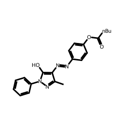 CCCCC(=O)Oc1ccc(N=Nc2c(C)nn(-c3ccccc3)c2O)cc1